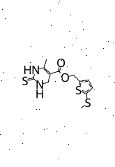 CSc1ccc(COC(=O)C2=C(C)NC(=S)NC2)s1